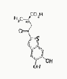 C[C@H](CC(=O)c1cc2cc(O)c(O)cc2s1)C(=O)O